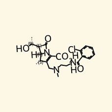 C[C@@H](O)[C@H]1C(=O)N2C(C(=O)O)=C(CN(C)CCNC(=O)c3ccccc3Cl)[C@H](C)[C@H]12